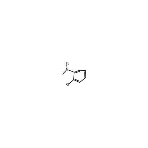 CCN(C)c1ccccc1Cl